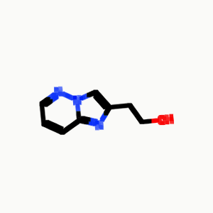 OCCc1cn2ncccc2n1